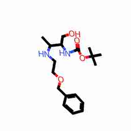 CC(NCCOCc1ccccc1)C(CO)NC(=O)OC(C)(C)C